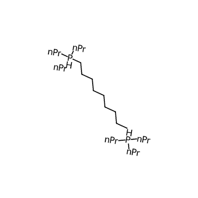 CCC[PH](CCC)(CCC)CCCCCCCCC[PH](CCC)(CCC)CCC